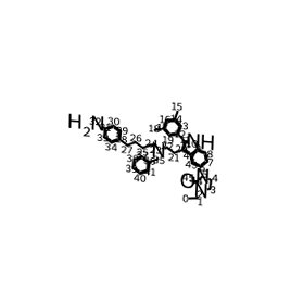 CCN1CCN(c2ccc3[nH]c(-c4cc(C)cc(C)c4)c(CCN(CCCCc4ccc(N)cc4)Cc4ccccc4)c3c2)C1=O